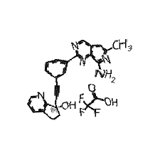 Cc1cc2cnc(-c3cccc(C#C[C@]4(O)CCc5cccnc54)c3)nc2c(N)n1.O=C(O)C(F)(F)F